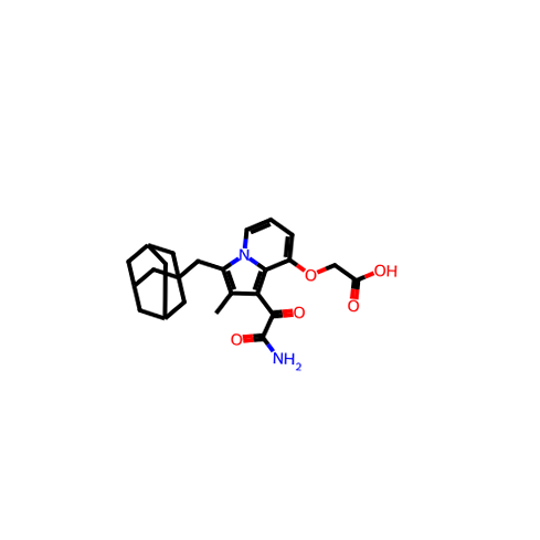 Cc1c(C(=O)C(N)=O)c2c(OCC(=O)O)cccn2c1CC12CC3CC(CC(C3)C1)C2